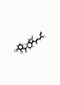 C=C/C(F)=C\C=C(/C)c1c2c(nn1C)CN(C(=O)c1cccc(Cl)c1Cl)CC2